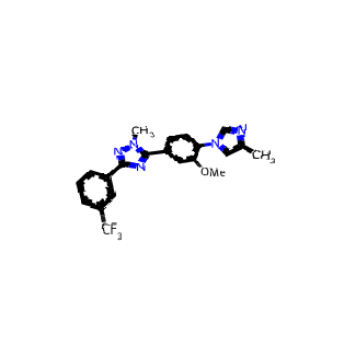 COc1cc(-c2nc(-c3cccc(C(F)(F)F)c3)nn2C)ccc1-n1cnc(C)c1